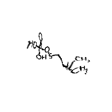 CN(C)CCSOP(=O)(O)O